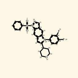 O=S(=O)(c1ccccc1)n1ncc2cc3c(cc(C4CCOCC4)n3-c3ccc(F)c(F)c3)cc21